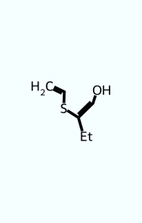 C=CSC(=CO)CC